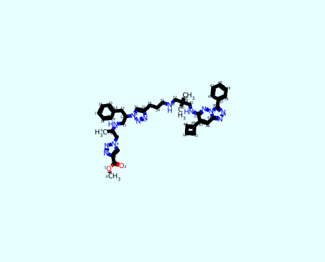 COC(=O)c1cn(CC(C)NCC(Cc2ccccc2)n2cc(CCCNCC(C)(C)CNc3nn4c(-c5ccccc5)nnc4cc3C3=CC=C3)nn2)nn1